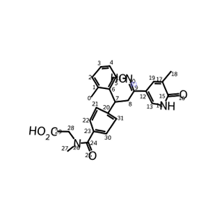 Cc1ccccc1C(C/C(=N\O)c1c[nH]c(=O)c(C)c1)c1ccc(C(=O)N(C)CC(=O)O)cc1